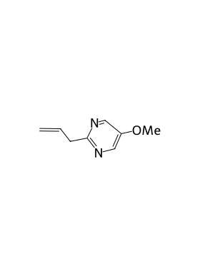 C=CCc1ncc(OC)cn1